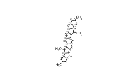 Cc1cc2sc3c4oc5cc6c(cc5c4n(C)c3c2s1)oc1c2sc3cc(C)sc3c2n(C)c61